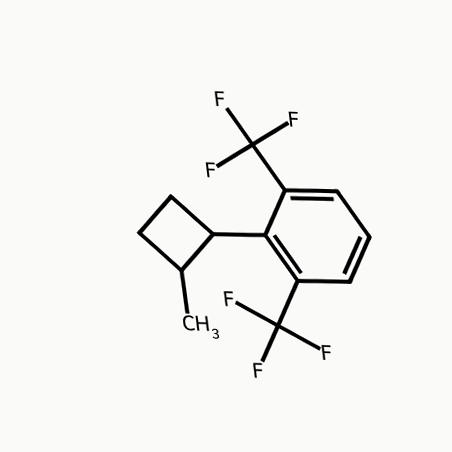 CC1CCC1c1c(C(F)(F)F)cccc1C(F)(F)F